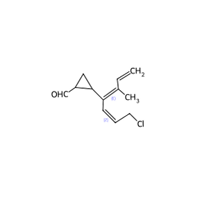 C=C/C(C)=C(/C=C\CCl)C1CC1C=O